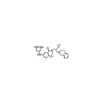 CC1(C)CN(CC(CN2CCc3ccccc3C2)C2CCC2)C(=O)c2cc(NC3=CNNC=C3)ccc21